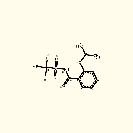 CC(C)Oc1ccccc1C(=O)NS(=O)(=O)C(F)(F)F